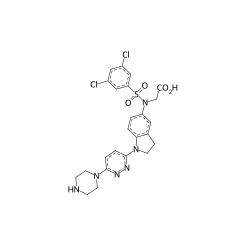 O=C(O)CN(c1ccc2c(c1)CCN2c1ccc(N2CCNCC2)nn1)S(=O)(=O)c1cc(Cl)cc(Cl)c1